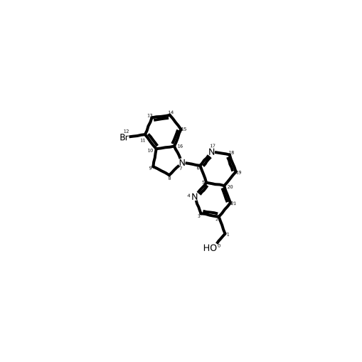 OCc1cnc2c(N3CCc4c(Br)cccc43)nccc2c1